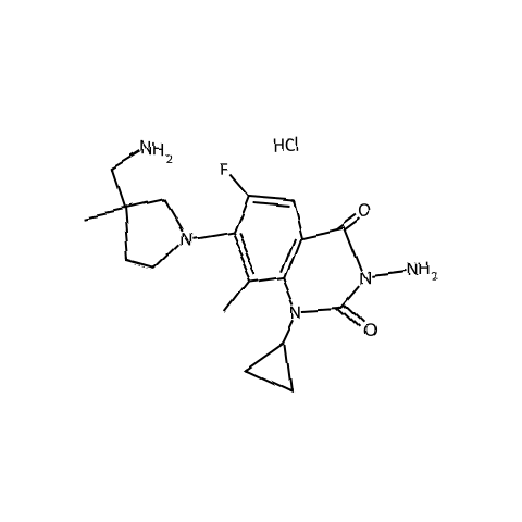 Cc1c(N2CCC(C)(CN)C2)c(F)cc2c(=O)n(N)c(=O)n(C3CC3)c12.Cl